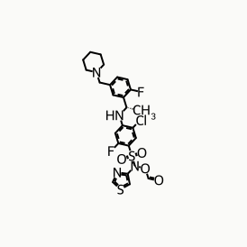 C[C@H](Nc1cc(F)c(S(=O)(=O)N(OC=O)c2cscn2)cc1Cl)c1cc(CN2CCCCC2)ccc1F